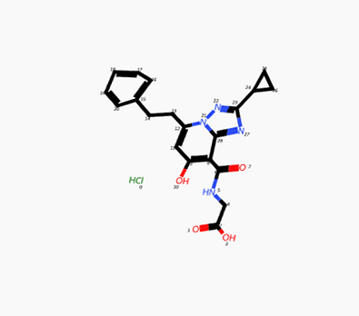 Cl.O=C(O)CNC(=O)c1c(O)cc(CCc2ccccc2)n2nc(C3CC3)nc12